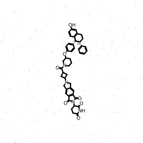 O=C1CCC(N2C(=O)c3cc4c(cc3C2=O)CN(C2CC(C(=O)N3CCCC(Oc5ccc([C@@H]6c7ccc(O)cc7CC[C@@H]6c6ccccc6)cc5)C3)C2)C4)C(=O)N1